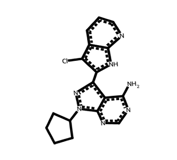 Nc1ncnc2c1c(-c1[nH]c3ncccc3c1Cl)nn2C1CCCC1